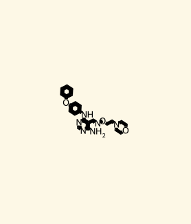 Nc1ncnc(Nc2ccc(Oc3ccccc3)cc2)c1C=NOCCN1CCOCC1